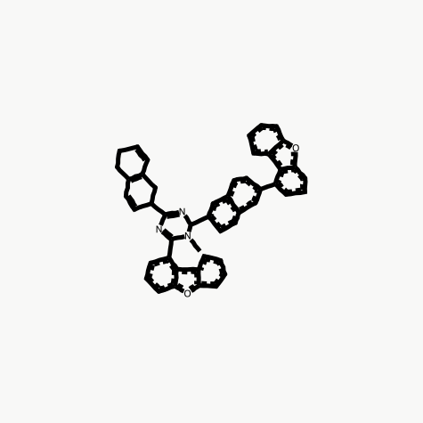 CN1C(c2cccc3oc4ccccc4c23)=NC(C2C=CC3=C(C=CCC3)C2)=NC1c1ccc2cc(-c3cccc4oc5ccccc5c34)ccc2c1